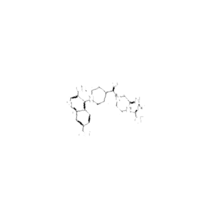 N#Cc1cnc2cc(O)ccc2c1N1CCC(C(=O)N2CCn3c(nnc3C(F)(F)F)C2)CC1